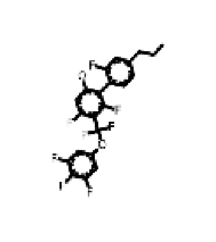 CCCc1ccc(-c2c([O])cc(F)c(C(F)(F)Oc3cc(F)c(F)c(F)c3)c2F)c(F)c1